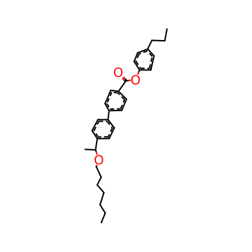 CCCCCCCOC(C)c1ccc(-c2ccc(C(=O)Oc3ccc(CCC)cc3)cc2)cc1